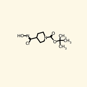 CC(C)(C)OC(=O)N1CCC(C(Cl)=NO)CC1